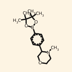 CN1CCOCC1c1ccc(B2OC(C)(C)C(C)(C)O2)cc1